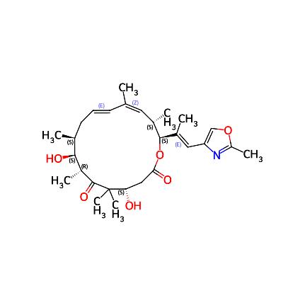 CC1=C/[C@H](C)[C@@H](/C(C)=C/c2coc(C)n2)OC(=O)C[C@H](O)C(C)(C)C(=O)[C@H](C)[C@@H](O)[C@@H](C)C\C=C\1